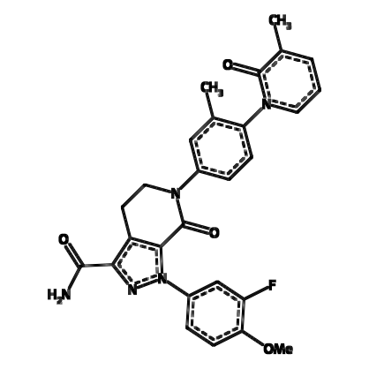 COc1ccc(-n2nc(C(N)=O)c3c2C(=O)N(c2ccc(-n4cccc(C)c4=O)c(C)c2)CC3)cc1F